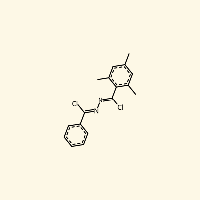 Cc1cc(C)c(C(Cl)=NN=C(Cl)c2ccccc2)c(C)c1